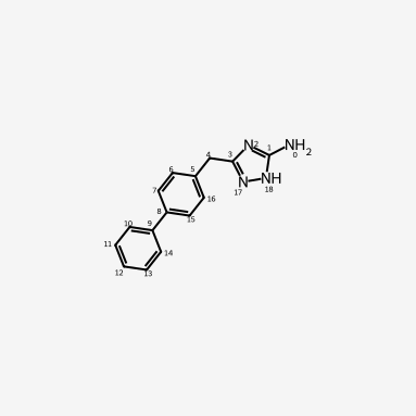 Nc1nc(Cc2ccc(-c3ccccc3)cc2)n[nH]1